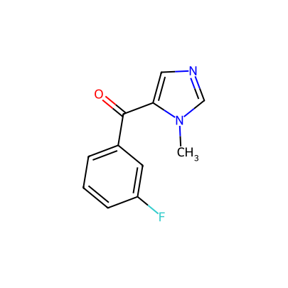 Cn1cncc1C(=O)c1cccc(F)c1